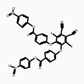 N#Cc1c(F)c(Oc2ccc(C(=O)Oc3ccc([N+](=O)[O-])cc3)cc2)c(Oc2ccc(C(=O)Oc3ccc([N+](=O)[O-])cc3)cc2)c(F)c1C#N